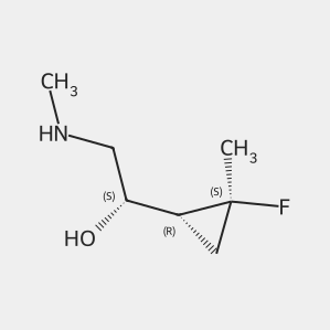 CNC[C@@H](O)[C@H]1C[C@]1(C)F